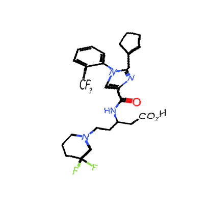 O=C(O)CC(CCN1CCCC(F)(F)C1)NC(=O)c1cn(-c2ccccc2C(F)(F)F)c(C2CCCC2)n1